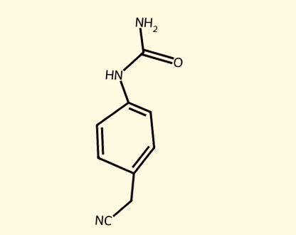 N#CCc1ccc(NC(N)=O)cc1